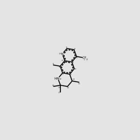 Cc1c2c(cc3c(C(F)(F)F)ccnc13)C(C)CC(C)(C)N2